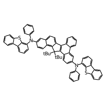 CC(C)(C)C1(C(C)(C)C)c2c(ccc3cc(N(c4ccccc4)c4cccc5c4sc4ccccc45)ccc23)-c2c1c1ccc(N(c3ccccc3)c3cccc4c3sc3ccccc34)cc1c1ccccc21